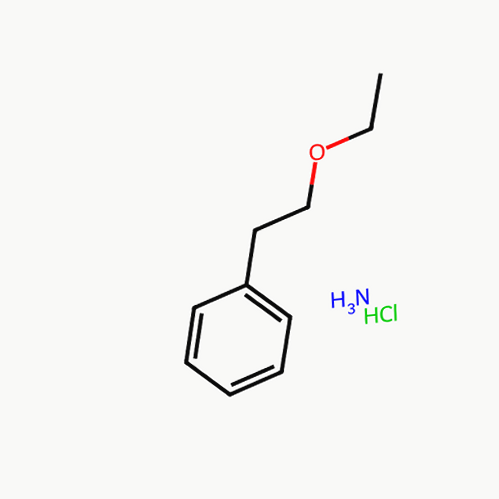 CCOCCc1ccccc1.Cl.N